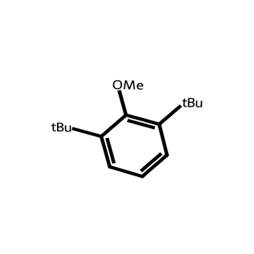 [CH2]Oc1c(C(C)(C)C)cccc1C(C)(C)C